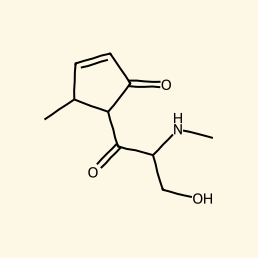 CNC(CO)C(=O)C1C(=O)C=CC1C